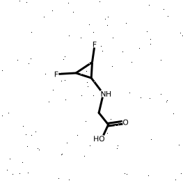 O=C(O)CNC1C(F)C1F